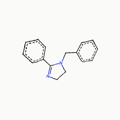 c1ccc(CN2CCN=C2c2ccccc2)cc1